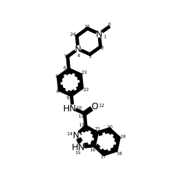 CN1CCN(Cc2ccc(NC(=O)c3n[nH]c4ccccc34)cc2)CC1